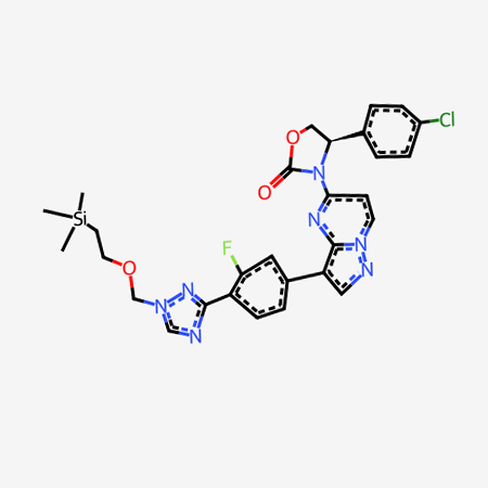 C[Si](C)(C)CCOCn1cnc(-c2ccc(-c3cnn4ccc(N5C(=O)OC[C@H]5c5ccc(Cl)cc5)nc34)cc2F)n1